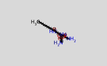 CCCCCCCCC=CCCCCCCCC(=O)NCCCCCC(=O)NC(COC(=O)CCCN)COC(=O)CCCN